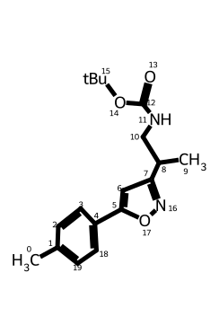 Cc1ccc(-c2cc(C(C)CNC(=O)OC(C)(C)C)no2)cc1